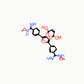 CONC(=N)c1ccc(-c2ccc(-c3ccc(C(=N)NOC)cc3)o2)cc1.O=C(O)/C=C\C(=O)O